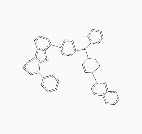 C1=CC(N(c2ccccc2)c2ccc(-c3cccc4c3oc3c(-c5ccccc5)cccc34)cc2)CCC1c1ccc2ccccc2c1